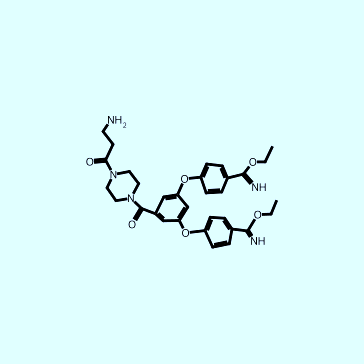 CCOC(=N)c1ccc(Oc2cc(Oc3ccc(C(=N)OCC)cc3)cc(C(=O)N3CCN(C(=O)CCN)CC3)c2)cc1